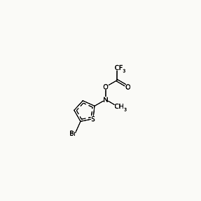 CN(OC(=O)C(F)(F)F)c1ccc(Br)s1